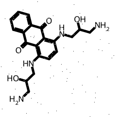 NCC(O)CNc1ccc(NCC(O)CN)c2c1C(=O)c1ccccc1C2=O